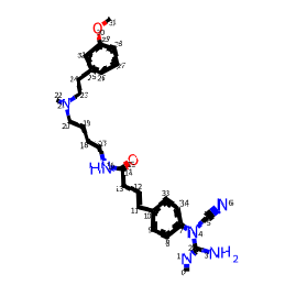 CN=C(N)N(C#N)c1ccc(/C=C/CC(=O)NCCCCN(C)CCc2cccc(OC)c2)cc1